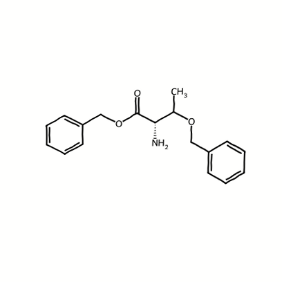 CC(OCc1ccccc1)[C@H](N)C(=O)OCc1ccccc1